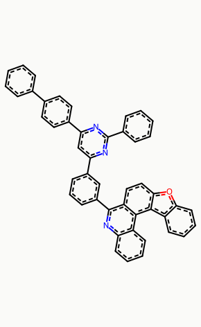 c1ccc(-c2ccc(-c3cc(-c4cccc(-c5nc6ccccc6c6c5ccc5oc7ccccc7c56)c4)nc(-c4ccccc4)n3)cc2)cc1